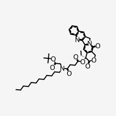 CCCCCCCCCCCCN(CC(=O)OC(C)(C)C)C(=O)CCC(=O)O[C@]1(CC)C(=O)OCc2c1cc1n(c2=O)Cc2cc3ccccc3nc2-1